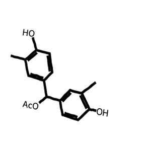 CC(=O)OC(c1ccc(O)c(C)c1)c1ccc(O)c(C)c1